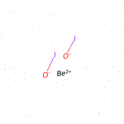 [Be+2].[O-]I.[O-]I